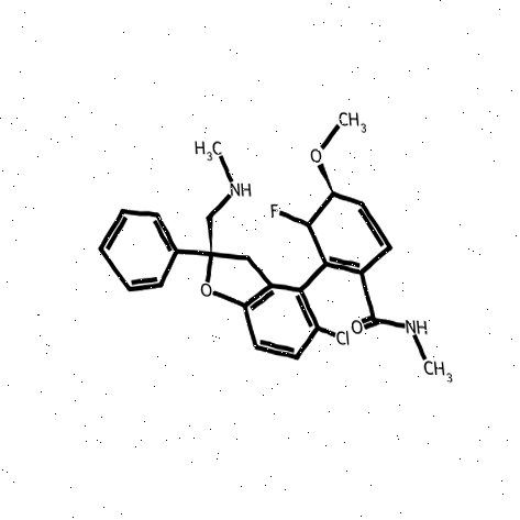 CNC[C@@]1(c2ccccc2)Cc2c(ccc(Cl)c2C2=C(C(=O)NC)C=C[C@H](OC)C2F)O1